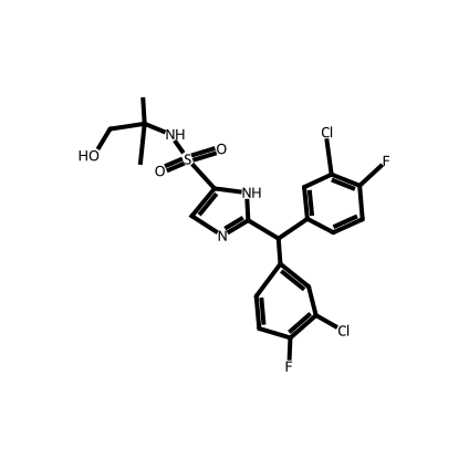 CC(C)(CO)NS(=O)(=O)c1cnc(C(c2ccc(F)c(Cl)c2)c2ccc(F)c(Cl)c2)[nH]1